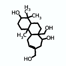 CC1(C)C(O)CCC2(C)C1CCC1(CO)C(O)CC(CO)=CCC21